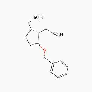 O=S(=O)(O)CC1CCC(OCc2ccccc2)C1CS(=O)(=O)O